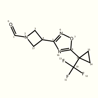 O=CN1CC(c2noc(C3(C(F)(F)F)CC3)n2)C1